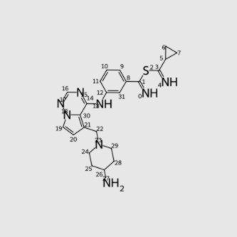 N=C(SC(=N)C1CC1)c1cccc(Nc2ncnn3ccc(CN4CCC(N)CC4)c23)c1